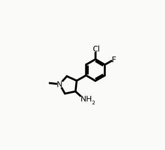 CN1CC(N)C(c2ccc(F)c(Cl)c2)C1